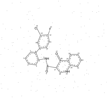 O=C(Nc1ccccc1-c1ccc(F)c(Cl)c1)c1c[nH]c2ccccc2c1=O